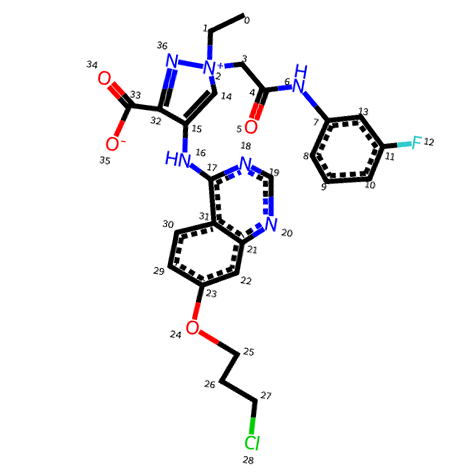 CC[N+]1(CC(=O)Nc2cccc(F)c2)C=C(Nc2ncnc3cc(OCCCCl)ccc23)C(C(=O)[O-])=N1